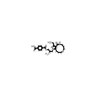 CCc1nn(C[C@@H](C)COC(=O)c2ccc(C(=O)O)cc2)c2c1C(=O)NCCCOCCC2